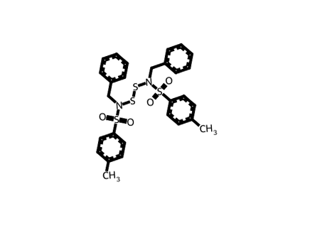 Cc1ccc(S(=O)(=O)N(Cc2ccccc2)SSN(Cc2ccccc2)S(=O)(=O)c2ccc(C)cc2)cc1